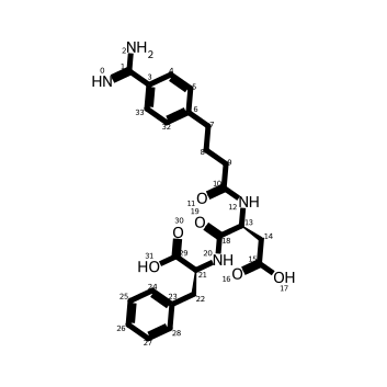 N=C(N)c1ccc(CCCC(=O)N[C@@H](CC(=O)O)C(=O)N[C@@H](Cc2ccccc2)C(=O)O)cc1